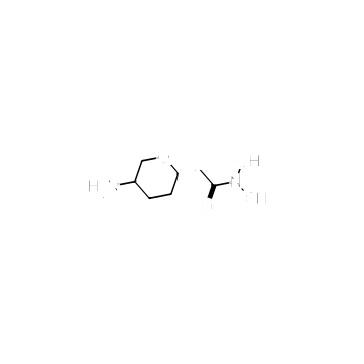 CN(C)C(=O)C[C@@H]1CCC(N)CO1